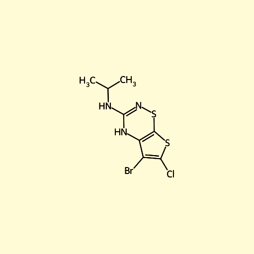 CC(C)NC1=NSc2sc(Cl)c(Br)c2N1